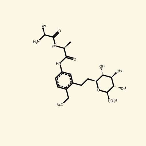 CC(=O)OCc1ccc(NC(=O)[C@H](C)NC(=O)[C@@H](N)C(C)C)cc1CC[C@@H]1O[C@H](C(=O)O)[C@@H](O)[C@H](O)[C@H]1O